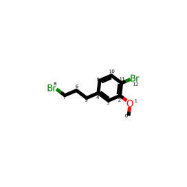 COc1cc(CCCBr)ccc1Br